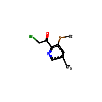 CCSc1cc(C(F)(F)F)cnc1C(=O)CBr